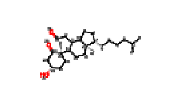 CC(C)CCCC[C@H]1CCC2C(CC=O)C([C@@]3(C)CC[C@H](O)CC3=O)CC[C@@]21C